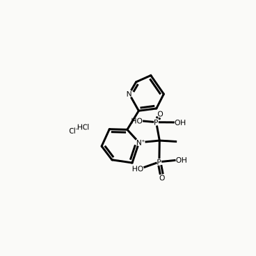 CC([n+]1ccccc1-c1ccccn1)(P(=O)(O)O)P(=O)(O)O.Cl.[Cl-]